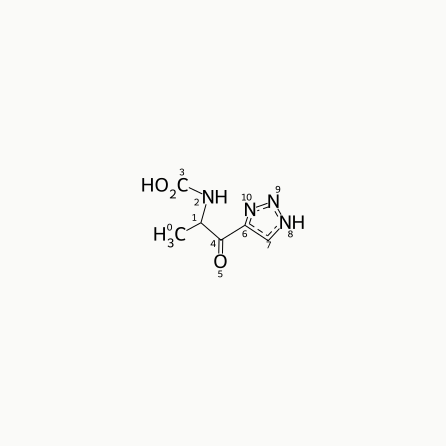 CC(NC(=O)O)C(=O)c1c[nH]nn1